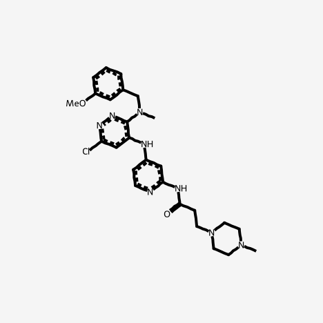 COc1cccc(CN(C)c2nnc(Cl)cc2Nc2ccnc(NC(=O)CCN3CCN(C)CC3)c2)c1